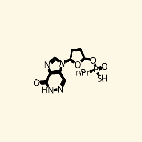 CCCP(=O)(S)OC1CCC(n2cnc3c(=O)[nH]ncc32)O1